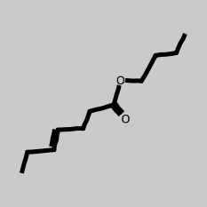 CCC=CCCC(=O)OCCCC